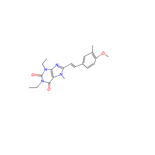 CCn1c(=O)c2c(nc(C=Cc3ccc(OC)c(C)c3)n2C)n(CC)c1=O